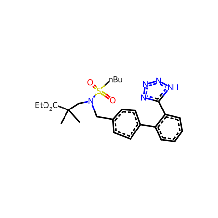 CCCCS(=O)(=O)N(Cc1ccc(-c2ccccc2-c2nnn[nH]2)cc1)CC(C)(C)C(=O)OCC